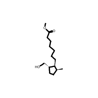 COC(=O)CCCCCC[C@@H]1[C@@H](CO)CC[C@@H]1C